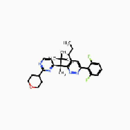 CCCc1cc(-c2c(F)cccc2F)nnc1[C@](C)(c1ccnc(C2CCOCC2)n1)C(C)(C)C